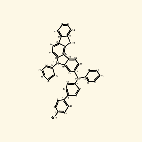 Brc1ccc(-c2ccc(N(c3ccccc3)c3ccc4c5c6sc7ccccc7c6ccc5n(-c5ccccc5)c4c3)cc2)cc1